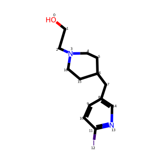 OCCN1CCC(Cc2ccc(I)nc2)CC1